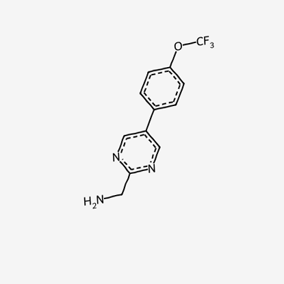 NCc1ncc(-c2ccc(OC(F)(F)F)cc2)cn1